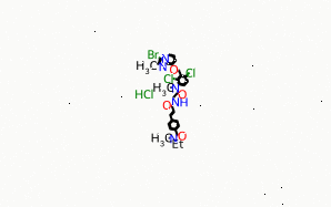 CCN(C)C(=O)c1ccc(C=CC(=O)NCC(=O)N(C)c2ccc(Cl)c(COc3cccn4c(Br)c(C)nc34)c2Cl)cc1.Cl